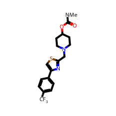 CNC(=O)OC1CCN(Cc2nc(-c3ccc(C(F)(F)F)cc3)cs2)CC1